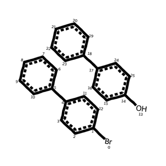 Brc1ccc(-c2ccccc2)cc1.Oc1ccc(-c2ccccc2)cc1